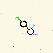 FC1(F)CNCCC1c1ccc(Cl)cc1